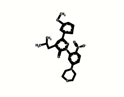 COc1cccc(-c2cc(CC(C)C)c(=O)n(-c3cc(N4CCOCC4)ccc3[N+](=O)[O-])n2)c1